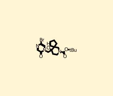 CC(C)(C)OC(=O)N1CCC(O)(Cn2cc(Br)ncc2=O)C2(CCCC2)C1